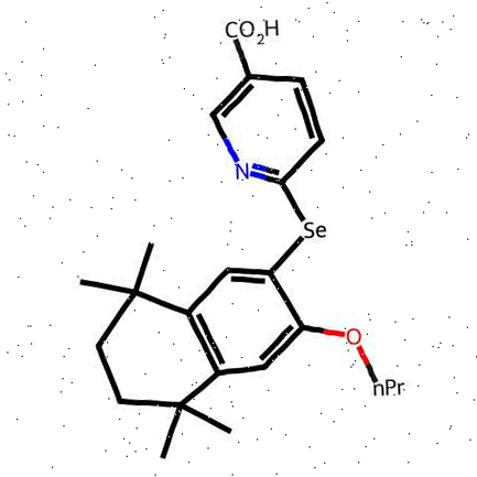 CCCOc1cc2c(cc1[Se]c1ccc(C(=O)O)cn1)C(C)(C)CCC2(C)C